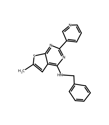 Cc1cc2c(NCc3ccccc3)nc(-c3cccnc3)nc2s1